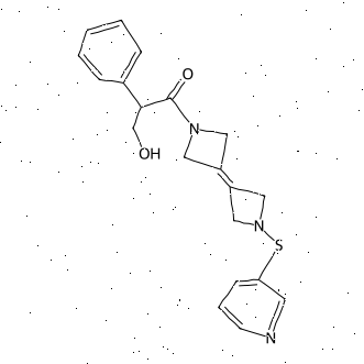 O=C(C(CO)c1ccccc1)N1CC(=C2CN(Sc3cccnc3)C2)C1